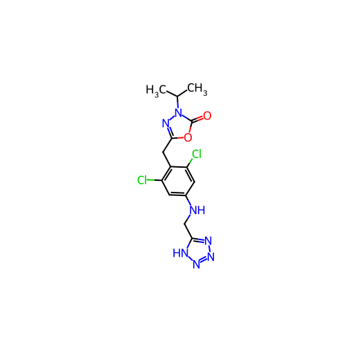 CC(C)n1nc(Cc2c(Cl)cc(NCc3nnn[nH]3)cc2Cl)oc1=O